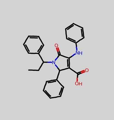 CCC(c1ccccc1)N1C(=O)C(Nc2ccccc2)=C(C(=O)O)C1c1ccccc1